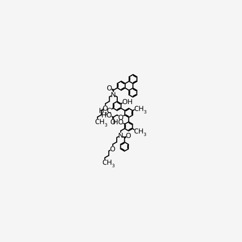 CCCCOCCCN(Cc1cc(C)cc(-c2cc(C)cc(-c3cc(C)cc(CN(CCCOCCCC)C(=O)c4ccc5c6ccccc6c6ccccc6c5c4)c3O)c2OCC(=O)O)c1O)C(=O)c1ccccc1